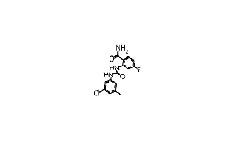 Cc1cc(Cl)cc(NC(=O)Nc2cc(F)ccc2C(N)=O)c1